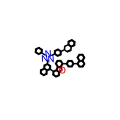 C1=CC(c2ccc(-c3nc(-c4ccccc4)nc(-c4cc(-c5cccc6oc7c(-c8ccc(-c9cccc%10ccccc9%10)cc8)cccc7c56)c5ccccc5c4)n3)cc2)Cc2ccccc21